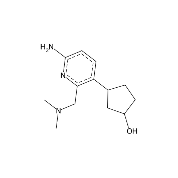 CN(C)Cc1nc(N)ccc1C1CCC(O)C1